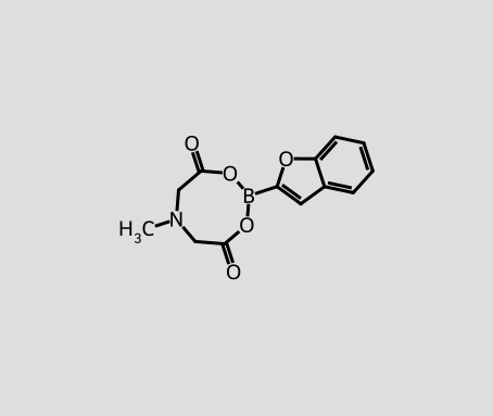 CN1CC(=O)OB(c2cc3ccccc3o2)OC(=O)C1